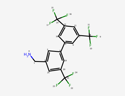 NCc1cc(-c2cc(C(F)(F)F)cc(C(F)(F)F)c2)cc(C(F)(F)F)c1